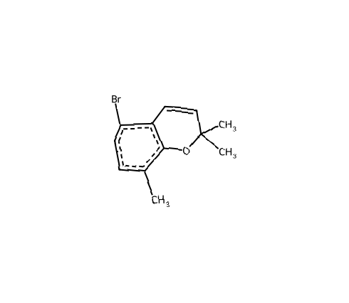 Cc1ccc(Br)c2c1OC(C)(C)C=C2